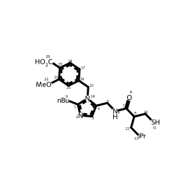 CCCCc1ncc(CNC(=O)C(CS)CC(C)C)n1Cc1ccc(C(=O)O)c(OC)c1